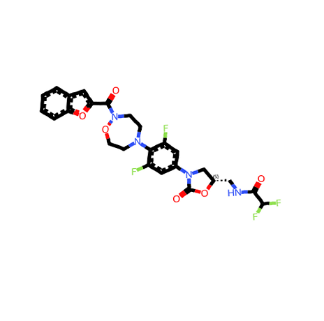 O=C(NC[C@H]1CN(c2cc(F)c(N3CCON(C(=O)c4cc5ccccc5o4)CC3)c(F)c2)C(=O)O1)C(F)F